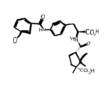 CC1(C)[C@@H](C(=O)N[C@@H](Cc2ccc(NC(=O)c3cccc(Cl)c3)cc2)C(=O)O)CC[C@@]1(C)C(=O)O